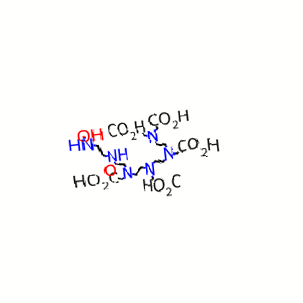 O=C(O)CN(CCN(CCN(CC(=O)O)CC(=O)NCCNO)CC(=O)O)CCN(CC(=O)O)CC(=O)O